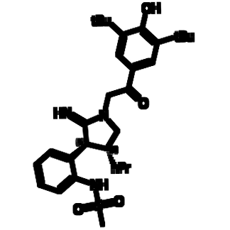 CCC[C@H]1CN(CC(=O)c2cc(C(C)(C)C)c(O)c(C(C)(C)C)c2)C(=N)[C@@H]1c1ccccc1NS(C)(=O)=O